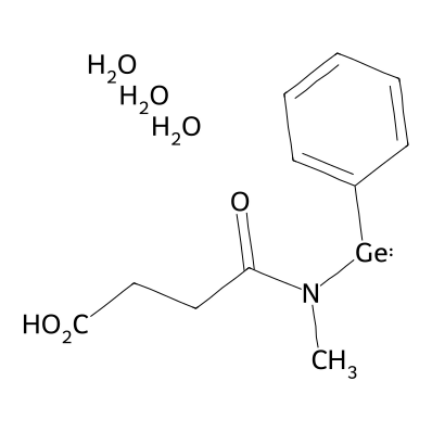 C[N]([Ge][c]1ccccc1)C(=O)CCC(=O)O.O.O.O